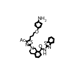 CC(=O)c1nc(N2CCc3cccc(C(=O)Nc4nc5ccccc5s4)c3C2)sc1CCCOc1ccc(N)cc1